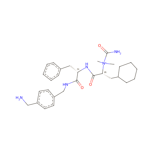 C[N+](C)(C(N)=O)[C@H](CC1CCCCC1)C(=O)N[C@@H](Cc1ccccc1)C(=O)NCc1ccc(CN)cc1